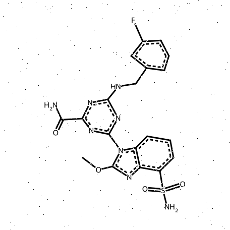 COc1nc2c(S(N)(=O)=O)cccc2n1-c1nc(NCc2cccc(F)c2)nc(C(N)=O)n1